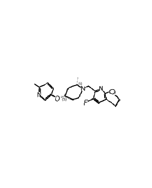 Cc1ccc(O[C@H]2CCN(Cc3nc4c(cc3F)CCO4)[C@@H](C)C2)cn1